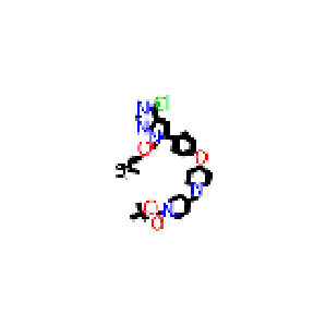 CC(C)(C)OC(=O)N1CCC(CN2CCC(Oc3ccc(-c4cc5c(Cl)ncnc5n4COCC[Si](C)(C)C)cc3)CC2)CC1